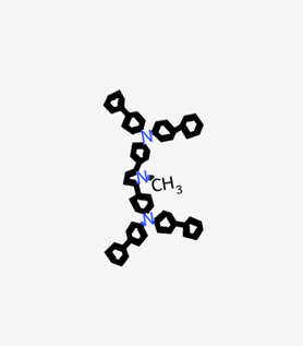 CCn1c(-c2ccc(N(c3ccc(-c4ccccc4)cc3)c3ccc(-c4ccccc4)cc3)cc2)ccc1-c1ccc(N(c2ccc(-c3ccccc3)cc2)c2ccc(-c3ccccc3)cc2)cc1